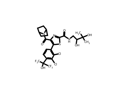 CC(C)(O)C(O)CNC(=O)c1nc(C(=O)N2C3CCC2CC3)c(-c2ccc(C(O)(C(F)(F)F)C(F)(F)F)c(Cl)c2Cl)s1